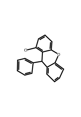 Clc1cccc2c1C(c1ccccc1)c1ccccc1O2